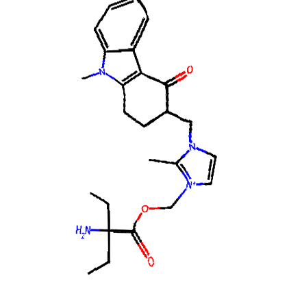 CCC(N)(CC)C(=O)OC[n+]1ccn(CC2CCc3c(c4ccccc4n3C)C2=O)c1C